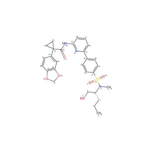 CCC[C@H](CO)N(C)S(=O)(=O)c1ccc(-c2cccc(NC(=O)C3(c4ccc5c(c4)OCO5)CC3)n2)cc1